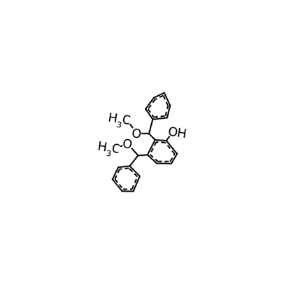 COC(c1ccccc1)c1cccc(O)c1C(OC)c1ccccc1